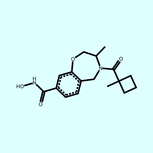 CC1COc2cc(C(=O)NO)ccc2CN1C(=O)C1(C)CCC1